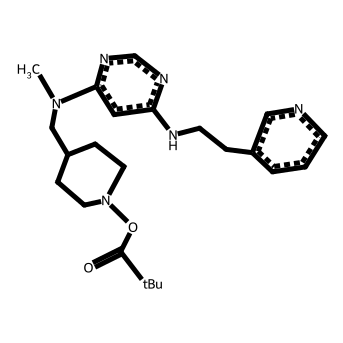 CN(CC1CCN(OC(=O)C(C)(C)C)CC1)c1cc(NCCc2cccnc2)ncn1